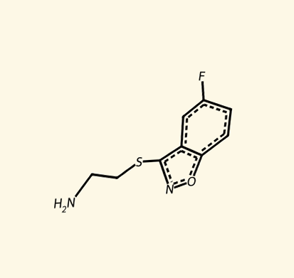 NCCSc1noc2ccc(F)cc12